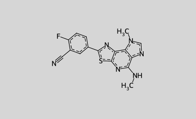 CNc1nc2sc(-c3ccc(F)c(C#N)c3)nc2c2c1ncn2C